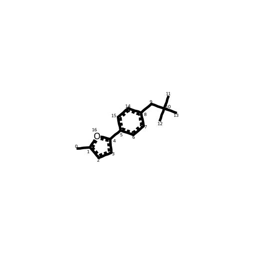 Cc1ccc(-c2ccc(CC(C)(C)C)cc2)o1